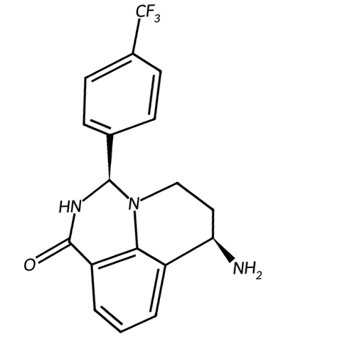 N[C@@H]1CCN2c3c(cccc31)C(=O)N[C@H]2c1ccc(C(F)(F)F)cc1